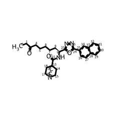 CCC(=O)CCCCC[C@H](NC(=O)C12CCN(CC1)CC2)c1nnc(-c2ccc3ccccc3c2)o1